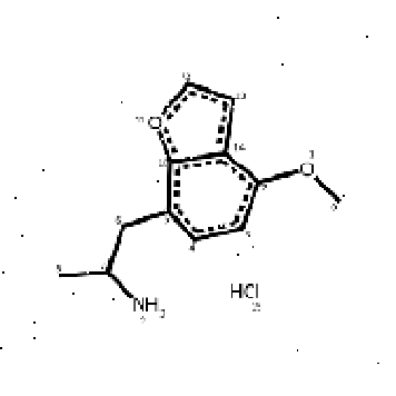 COc1ccc(CC(C)N)c2occc12.Cl